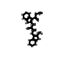 CC(C)(C)OC(=O)c1c(NC(=O)NCc2c(C(F)(F)F)sc3c2CCCC3)sc2c1CCCC2